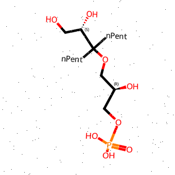 CCCCCC(CCCCC)(OC[C@@H](O)COP(=O)(O)O)[C@@H](O)CO